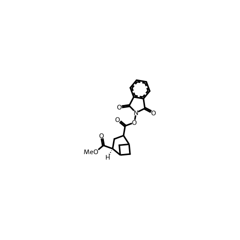 COC(=O)[C@H]1CC(C(=O)ON2C(=O)c3ccccc3C2=O)C2CC1C2